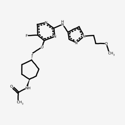 COCCn1cc(Nc2ncc(F)c(OC[C@H]3CC[C@H](NC(C)=O)CC3)n2)cn1